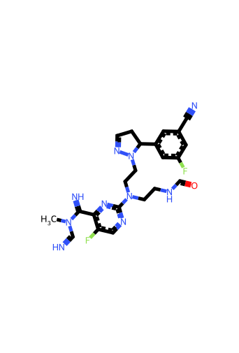 CN(C=N)C(=N)c1nc(N(CCNC=O)CCN2N=CCC2c2cc(F)cc(C#N)c2)ncc1F